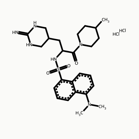 CC1CCN(C(=O)C(CC2CNC(=N)NC2)NS(=O)(=O)c2cccc3c(N(C)C)cccc23)CC1.Cl.Cl